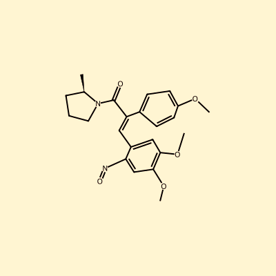 COc1ccc(/C(=C\c2cc(OC)c(OC)cc2N=O)C(=O)N2CCC[C@H]2C)cc1